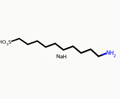 NCCCCCCCCCCS(=O)(=O)O.[NaH]